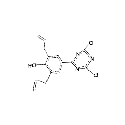 C=CCc1cc(-c2nc(Cl)nc(Cl)n2)cc(CC=C)c1O